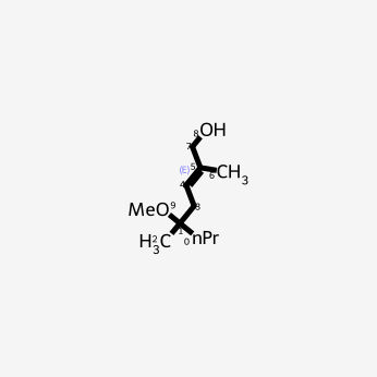 CCCC(C)(C/C=C(\C)CO)OC